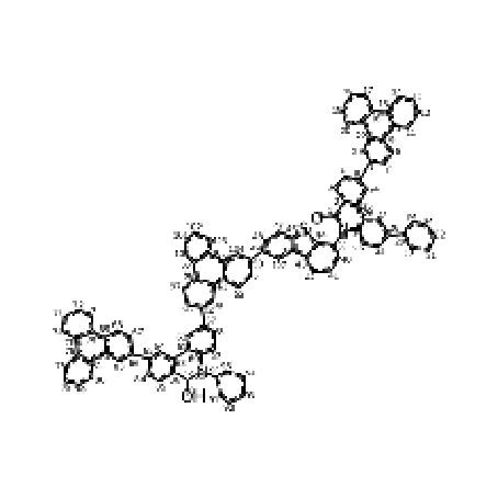 O=c1c2ccc(-c3ccc4c5ccccc5c5ccccc5c4c3)cc2c2cc(-c3ccccc3)ccc2n1-c1cccc2c1sc1ccc(-c3ccc4c5cc(-c6ccc7c(c6)-c6cc(-c8ccc9c%10ccccc%10c%10ccccc%10c9c8)ccc6C(O)N7c6ccccc6)ccc5c5ccccc5c4c3)cc12